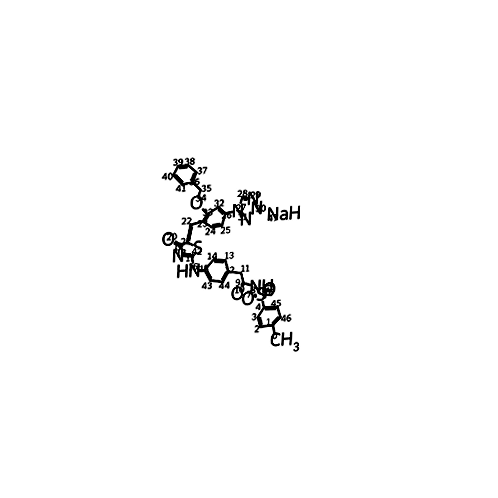 Cc1ccc(S(=O)(=O)NC(=O)Cc2ccc(NC3=NC(=O)C(=Cc4ccc(-n5cnnn5)cc4OCc4ccccc4)S3)cc2)cc1.[NaH]